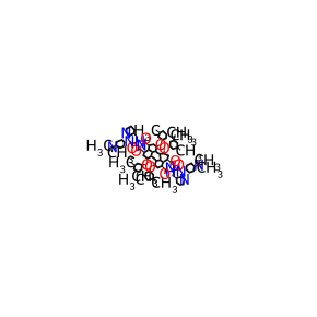 Cc1cc(C)cc(Oc2cc3c4c(cc(Oc5cc(C)cc(C)c5)c5c6c(Oc7cc(C)cc(C)c7)cc7c8c(cc(Oc9cc(C)cc(C)c9)c(c2c45)c86)C(=O)N(C(Cc2cccnc2)C(=O)Nc2ccc(N(C)C)cc2)C7=O)C(=O)N(C(Cc2cccnc2)C(=O)Nc2ccc(N(C)C)cc2)C3=O)c1